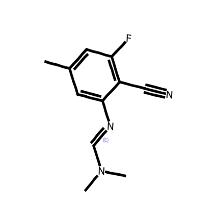 Cc1cc(F)c(C#N)c(/N=C/N(C)C)c1